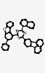 c1ccc(-c2cc(-c3nc(-c4ccc5c(c4)-c4cccc6cccc-5c46)nc(-c4cccc5ccccc45)n3)c3c(c2)oc2ccccc23)cc1